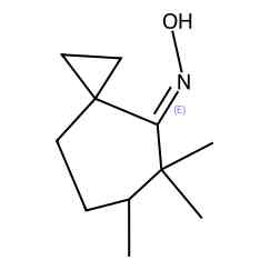 CC1CCC2(CC2)/C(=N\O)C1(C)C